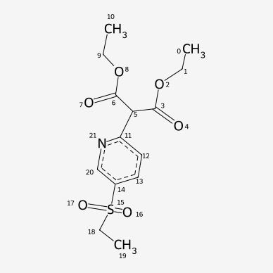 CCOC(=O)C(C(=O)OCC)c1ccc(S(=O)(=O)CC)cn1